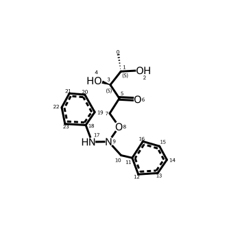 C[C@H](O)[C@H](O)C(=O)CON(Cc1ccccc1)Nc1ccccc1